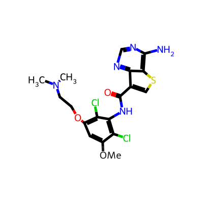 COc1cc(OCCN(C)C)c(Cl)c(NC(=O)c2csc3c(N)ncnc23)c1Cl